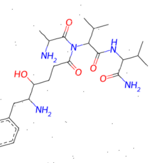 CC(N)C(=O)N(C(=O)CCC(O)C(N)Cc1ccccc1)C(C(=O)NC(C(N)=O)C(C)C)C(C)C